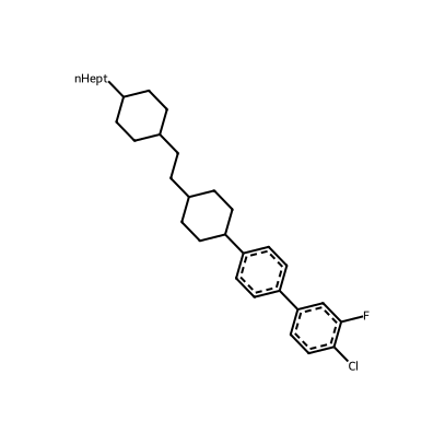 CCCCCCCC1CCC(CCC2CCC(c3ccc(-c4ccc(Cl)c(F)c4)cc3)CC2)CC1